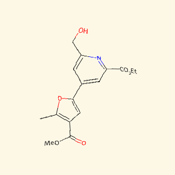 CCOC(=O)c1cc(-c2cc(C(=O)OC)c(C)o2)cc(CO)n1